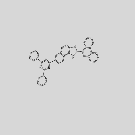 c1ccc(-c2nc(-c3ccccc3)nc(-c3ccc4c5c(ccc4c3)SC(c3cc4ccccc4c4ccccc34)N5)n2)cc1